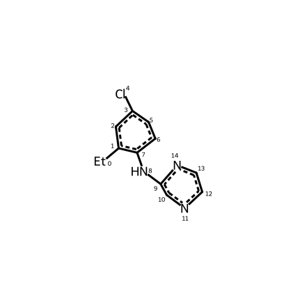 CCc1cc(Cl)ccc1Nc1cnccn1